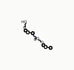 O=C(/C=C/c1cccc(C2=Cc3cc(OCCCO)ccc3CC2)c1)OCCCOc1ccc2c(c1)C=C(c1ccccc1)CC2